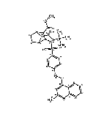 COC(=O)C1C(NS(=O)(=O)c2ccc(OCc3cc(C)nc4ccccc34)cc2)C2CCC1N2C(=O)OC(C)(C)C